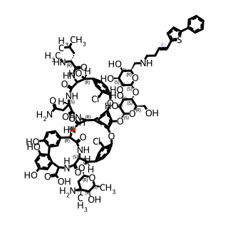 CN[C@H](CC(C)C)C(=O)NC1C(=O)N[C@@H](CC(N)=O)C(=O)N[C@H]2C(=O)N[C@H]3C(=O)N[C@H](C(=O)NC(C(=O)O)c4cc(O)cc(O)c4-c4cc3ccc4O)[C@H](O[C@H]3C[C@](C)(N)[C@@H](O)[C@H](C)O3)c3ccc(c(Cl)c3)Oc3cc2cc(c3O[C@@H]2O[C@H](CO)[C@@H](O[C@@H]3O[C@H](CNCC/C=C/c4ccc(-c5ccccc5)s4)[C@H](O)[C@H](O)[C@H]3O)[C@H](O)[C@H]2O)Oc2ccc(cc2Cl)[C@H]1O